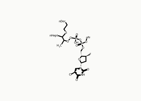 CCCCCCCCCCCCSC(CCCCCCC)C(C)OOP(=O)(O)OP(=O)(OCCC)OC[C@H]1O[C@@H](n2cc(Cl)c(=O)[nH]c2=O)C[C@@H]1F